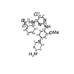 COc1cc(N2CCC(N)CC2)ccc1Nc1ncc(Cl)c(NC2CC=CC=C2P(C)(C)=O)n1